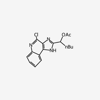 CCCCC(OC(C)=O)c1nc2c(Cl)nc3ccccc3c2[nH]1